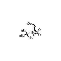 CCCCCCCCCCCCS(=O)(=O)[O-].CCCC[N+](CCCC)(CCCC)CCCC